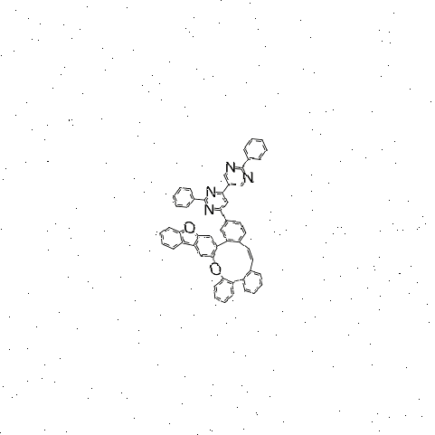 C1=C\c2ccc(-c3cc(-c4cnc(-c5ccccc5)nc4)nc(-c4ccccc4)n3)cc2-c2cc3oc4ccccc4c3cc2Oc2ccccc2-c2ccccc2/1